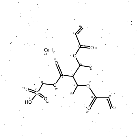 C=CC(=O)OC(C)C(C(=O)OCS(=O)(=O)O)C(C)OC(=O)C=C.[CaH2]